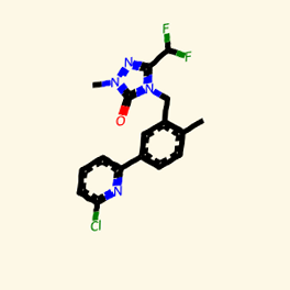 Cc1ccc(-c2cccc(Cl)n2)cc1Cn1c(C(F)F)nn(C)c1=O